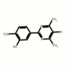 Cc1nc(-c2ccc(N)c(S)c2)nc(C)c1Cl